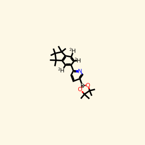 [2H]c1c([2H])c2c(c([2H])c1-c1ccc(B3OC(C)(C)C(C)(C)O3)cn1)C(C)(C)C(C)(C)C2(C)C